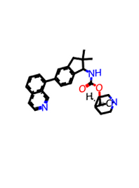 CC1(C)Cc2cc(-c3cccc4ccncc34)ccc2C1NC(=O)O[C@H]1CN2CCC1CC2